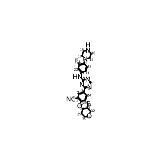 N#Cc1cc(-c2ncnc(Nc3ccc(N4CCNCC4)c(F)c3)n2)ccc1OC1CCOCC1F